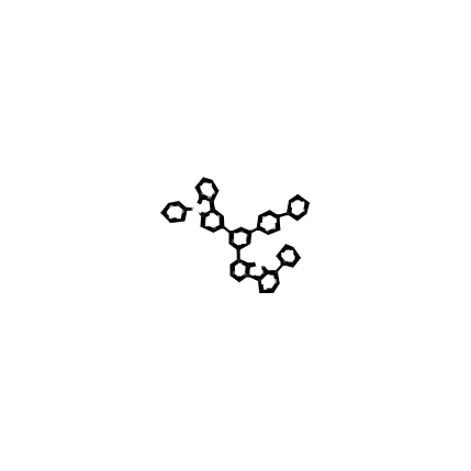 c1ccc(-c2ccc(-c3cc(-c4ccc5c(c4)c4ccccc4n5-c4ccccc4)cc(-c4cccc5c4sc4c(-c6ccccc6)cccc45)c3)cc2)cc1